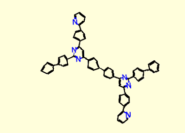 c1ccc(-c2ccc(-c3nc(-c4ccc(-c5ccc(-c6cc(-c7ccc(-c8ccccn8)cc7)nc(-c7ccc(-c8ccccc8)cc7)n6)cc5)cc4)cc(-c4ccc(-c5ccccn5)cc4)n3)cc2)cc1